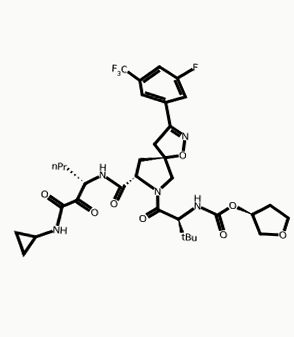 CCC[C@H](NC(=O)[C@@H]1C[C@]2(CC(c3cc(F)cc(C(F)(F)F)c3)=NO2)CN1C(=O)[C@@H](NC(=O)O[C@H]1CCOC1)C(C)(C)C)C(=O)C(=O)NC1CC1